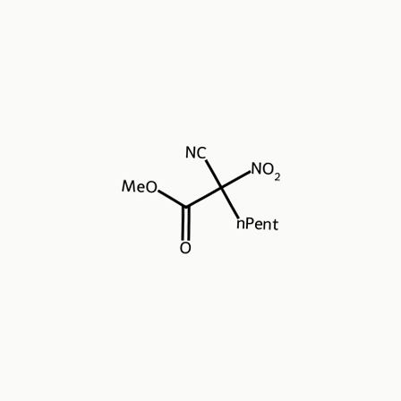 CCCCCC(C#N)(C(=O)OC)[N+](=O)[O-]